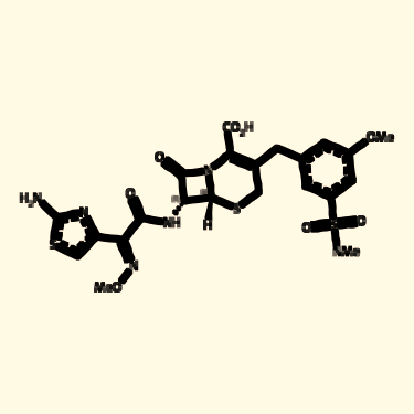 CNS(=O)(=O)c1cc(CC2=C(C(=O)O)N3C(=O)[C@@H](NC(=O)C(=NOC)c4csc(N)n4)[C@H]3SC2)cc(OC)c1